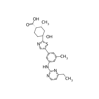 CCc1ccnc(Nc2cc(C)cc(-c3cnc([C@@]4(O)CC[C@H](C(=O)O)[C@H](C)C4)s3)c2)n1